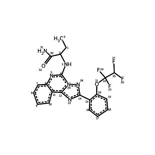 CCC(Nc1nc2ccccc2c2nc(-c3ccccc3OC(F)(F)C(F)F)nn12)C(N)=O